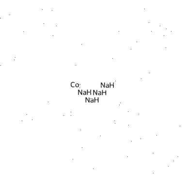 [Co].[NaH].[NaH].[NaH].[NaH]